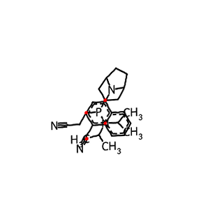 CC(C)N(C(C)C)P(CCC#N)C1CC2CCC(C1)N2c1ccc(C#N)c2ccccc12